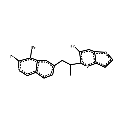 CC(C)c1cc2sccc2nc1C(C)Cc1ccc2cnc(C(C)C)c(C(C)C)c2c1